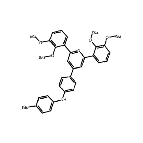 CC(C)(C)Oc1cccc(-c2cc(-c3ccc(Nc4ccc(C(C)(C)C)cc4)cc3)cc(-c3cccc(OC(C)(C)C)c3OC(C)(C)C)n2)c1OC(C)(C)C